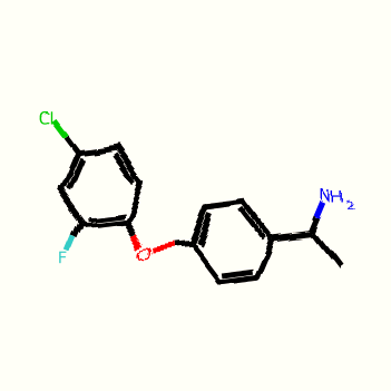 CC(N)c1ccc(Oc2ccc(Cl)cc2F)cc1